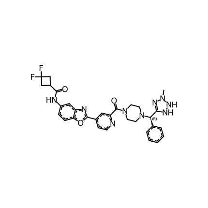 CN1N=C([C@@H](c2ccccc2)N2CCN(C(=O)c3cc(-c4nc5cc(NC(=O)C6CC(F)(F)C6)ccc5o4)ccn3)CC2)NN1